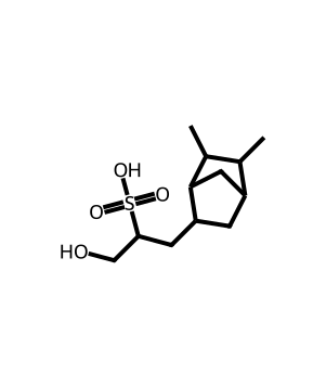 CC1C2CC(CC(CO)S(=O)(=O)O)C(C2)C1C